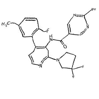 Cc1ccc(F)c(-c2ccnc(N3CCC(F)(F)C3)c2NC(=O)c2cnc(C(C)C)nc2)c1